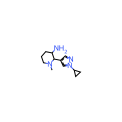 CN1CCCC(N)C1c1cnn(C2CC2)c1